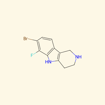 Fc1c(Br)ccc2c3c([nH]c12)CCNC3